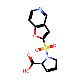 O=C(O)[C@@H]1C=CCN1S(=O)(=O)c1cc2cnccc2o1